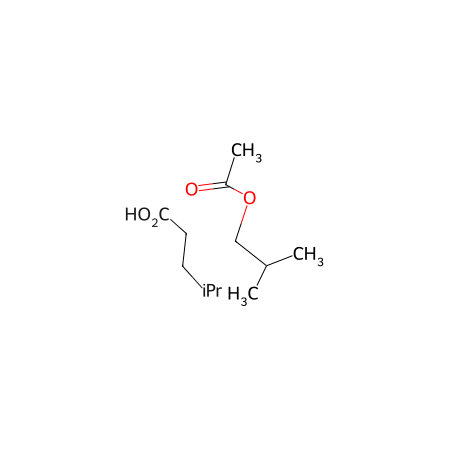 CC(=O)OCC(C)C.CC(C)CCC(=O)O